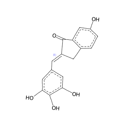 O=C1/C(=C/c2cc(O)c(O)c(O)c2)Cc2ccc(O)cc21